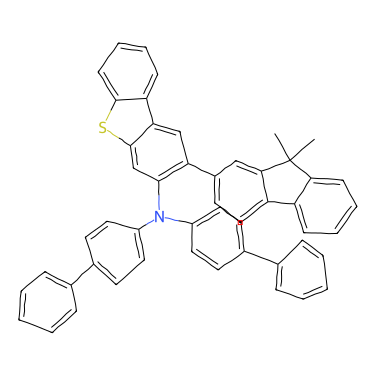 CC1(C)c2ccccc2-c2ccc(-c3cc4c(cc3N(c3ccc(-c5ccccc5)cc3)c3ccc(-c5ccccc5)cc3)sc3ccccc34)cc21